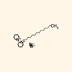 CCCCCCCCCCCCCC[n+]1ccccc1-[n+]1ccccc1.[Br-].[Br-]